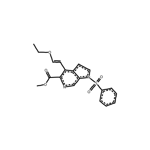 CCOC=Cc1c(C(=O)OC)ncc2c1ccn2S(=O)(=O)c1ccccc1